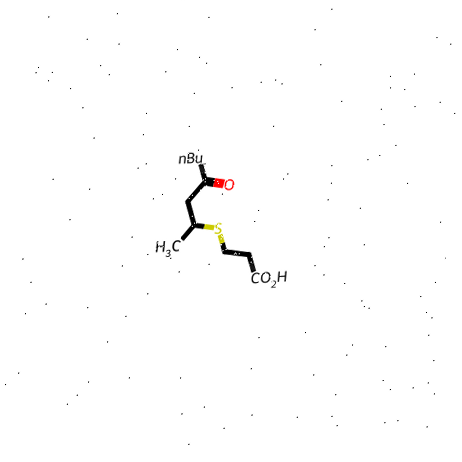 CCCCC(=O)CC(C)SCCC(=O)O